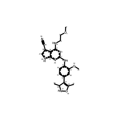 COCCNc1nc(Nc2ccc(C3=C(C)ONC3C)cc2OC)nc2[nH]cc(C#N)c12